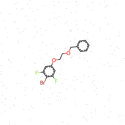 Fc1cc(OCCOCc2ccccc2)cc(F)c1Br